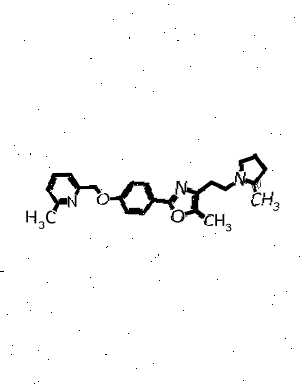 Cc1cccc(COc2ccc(-c3nc(CCN4CCC[C@H]4C)c(C)o3)cc2)n1